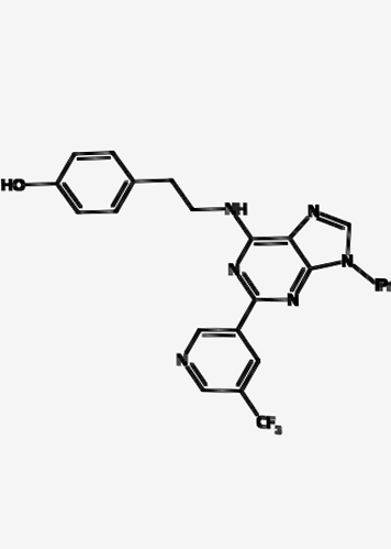 CC(C)n1cnc2c(NCCc3ccc(O)cc3)nc(-c3cncc(C(F)(F)F)c3)nc21